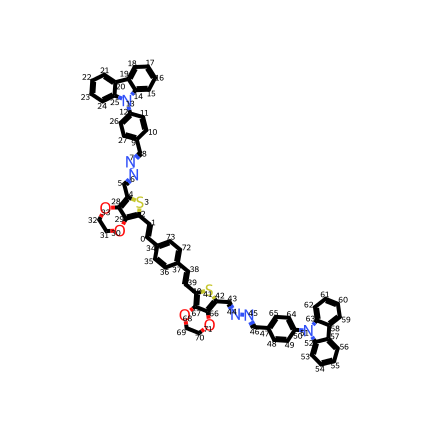 C(=C\c1sc(/C=N/N=C/c2ccc(-n3c4ccccc4c4ccccc43)cc2)c2c1OCCO2)/c1ccc(/C=C/c2sc(/C=N/N=C/c3ccc(-n4c5ccccc5c5ccccc54)cc3)c3c2OCCO3)cc1